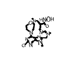 C=N/C=C(\C=N/CN(C)Cc1nc2c(N3CCOCC3)nc(Cl)nc2n1C)C(=O)NO